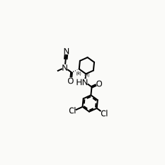 CN(C#N)C(=O)[C@@H]1CCCC[C@H]1NC(=O)c1cc(Cl)cc(Cl)c1